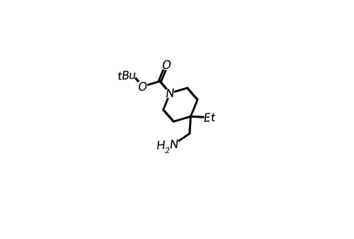 CCC1(CN)CCN(C(=O)OC(C)(C)C)CC1